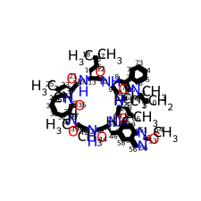 C=CC(C)(C)n1cc(C[C@@H]2NC(=O)[C@H](CCC(C)C)NC(=O)[C@H](CC(C)C)N3CC/C=C\C[C@@H](C3=O)N(C)C(=O)[C@H](C)NC(=O)[C@H](Cc3ccc4nc(OC)ncc4c3)NC(=O)[C@H](CC(C)C)N(C)C2=O)c2ccccc21